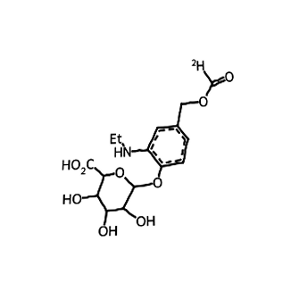 [2H]C(=O)OCc1ccc(OC2OC(C(=O)O)C(O)C(O)C2O)c(NCC)c1